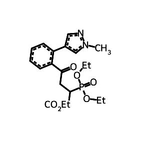 CCOC(=O)C(CC(=O)c1ccccc1-c1cnn(C)c1)P(=O)(OCC)OCC